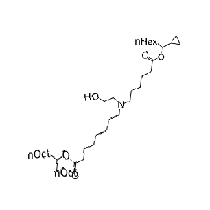 CCCCCCCCC(CCCCCCCC)OC(=O)CCCCCCCN(CCO)CCCCCC(=O)OC(CCCCCC)C1CC1